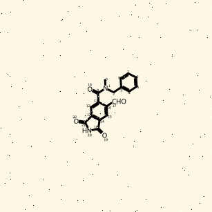 CN(Cc1ccccc1)C(=O)c1cc2c(cc1C=O)C(=O)NC2=O